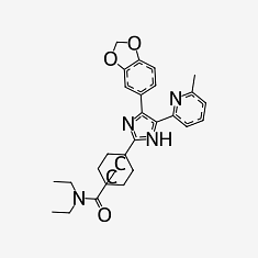 CCN(CC)C(=O)C12CCC(c3nc(-c4ccc5c(c4)OCO5)c(-c4cccc(C)n4)[nH]3)(CC1)CC2